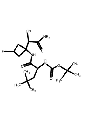 CC(C)(C)CC(NC(=O)OC(C)(C)C)C(=O)NC1(C(O)C(N)=O)CC(F)C1